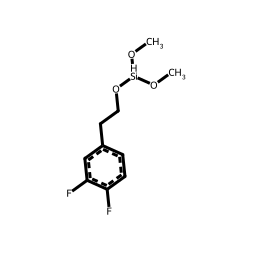 CO[SiH](OC)OCCc1ccc(F)c(F)c1